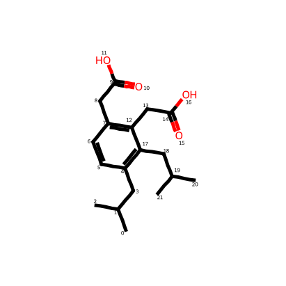 CC(C)Cc1ccc(CC(=O)O)c(CC(=O)O)c1CC(C)C